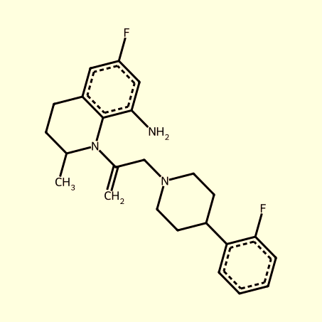 C=C(CN1CCC(c2ccccc2F)CC1)N1c2c(N)cc(F)cc2CCC1C